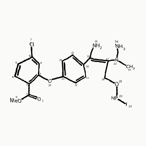 COC(=O)c1ccc(Cl)cc1Oc1ccc(/C(N)=C(\COPI)N(C)N)cc1